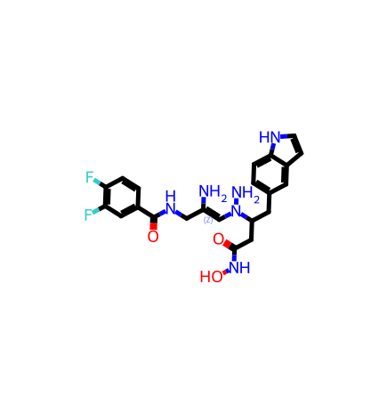 N/C(=C\N(N)C(CC(=O)NO)Cc1ccc2[nH]ccc2c1)CNC(=O)c1ccc(F)c(F)c1